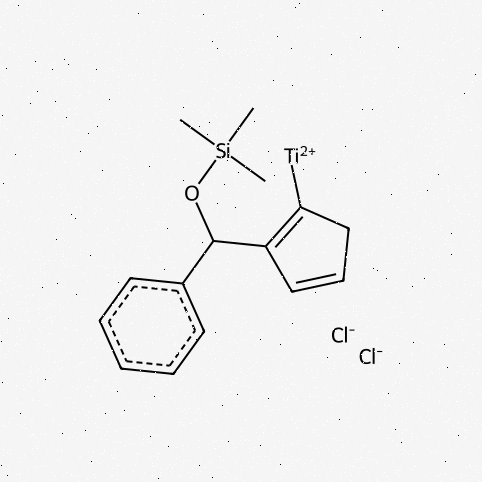 C[Si](C)(C)OC(C1=[C]([Ti+2])CC=C1)c1ccccc1.[Cl-].[Cl-]